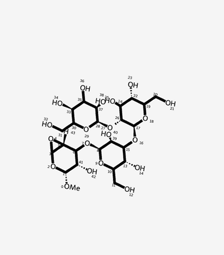 CO[C@@H]1OC2O[C@@H]2C(O[C@@H]2OC(CO)[C@@H](O)C(O[C@@H]3OC(CO)[C@@H](O)C(O)[C@H]3O[C@H]3OC(CO)[C@@H](O)C(O)[C@H]3O)[C@H]2O)[C@@H]1O